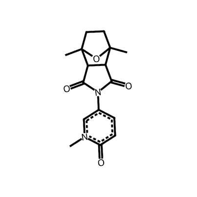 Cn1cc(N2C(=O)C3C(C2=O)C2(C)CCC3(C)O2)ccc1=O